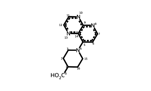 O=C(O)C1CCN(c2ccnc3nccnc23)CC1